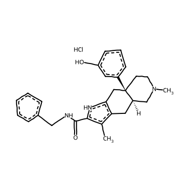 Cc1c(C(=O)NCc2ccccc2)[nH]c2c1C[C@@H]1CN(C)CC[C@@]1(c1cccc(O)c1)C2.Cl